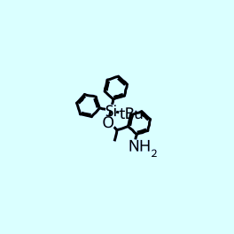 CC(O[Si](c1ccccc1)(c1ccccc1)C(C)(C)C)c1ccccc1N